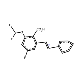 O=C(O)c1c(/C=C/c2ccccc2)cc(F)cc1OC(F)F